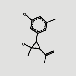 C=C(C)C1C(c2cc(C)cc(Cl)c2)C1(C)Cl